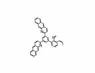 C=Nc1c(/C=C\C)cccc1-c1cc(-c2ccc3cc4ccccc4cc3n2)cc(-c2ccc3cc4ccccc4cc3n2)c1